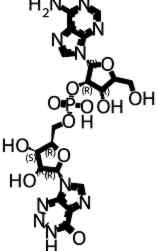 Nc1ncnc2c1ncn2[C@@H]1OC(CO)[C@@H](O)[C@H]1OP(=O)(O)OC[C@H]1O[C@@H](n2cnc3c(=O)[nH]nnc32)[C@H](O)[C@@H]1O